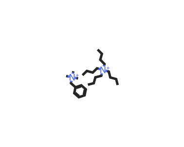 CCCC[N+](CCCC)(CCCC)CCCC.C[N+](C)(C)Cc1ccccc1